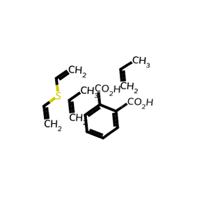 C=CC.C=CC.C=CSC=C.O=C(O)c1ccccc1C(=O)O